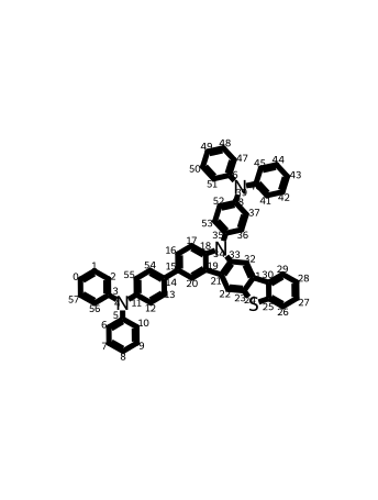 c1ccc(N(c2ccccc2)c2ccc(-c3ccc4c(c3)c3cc5sc6ccccc6c5cc3n4-c3ccc(N(c4ccccc4)c4ccccc4)cc3)cc2)cc1